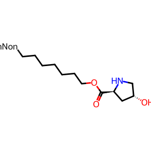 CCCCCCCCCCCCCCCCOC(=O)[C@@H]1C[C@@H](O)CN1